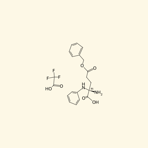 N[C@](CCC(=O)OCc1ccccc1)(Nc1ccccc1)C(=O)O.O=C(O)C(F)(F)F